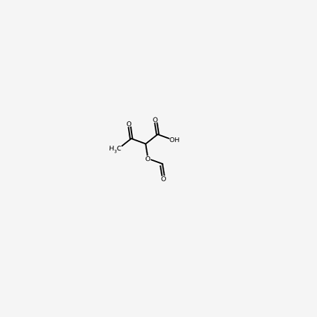 CC(=O)C(OC=O)C(=O)O